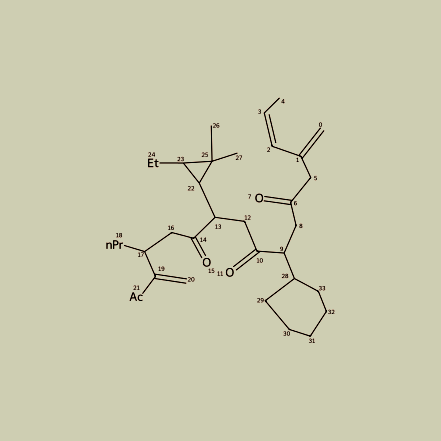 C=C(/C=C\C)CC(=O)CC(C(=O)CC(C(=O)CC(CCC)C(=C)C(C)=O)C1C(CC)C1(C)C)C1CCCCC1